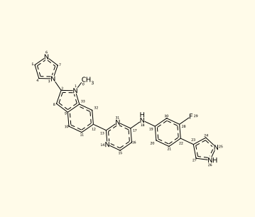 Cn1c(-n2ccnc2)cc2ccc(-c3nccc(Nc4ccc(-c5cn[nH]c5)c(F)c4)n3)cc21